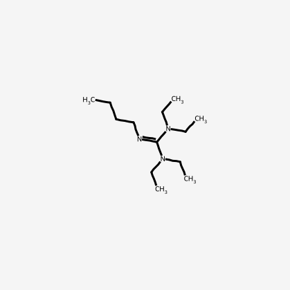 CCCCN=C(N(CC)CC)N(CC)CC